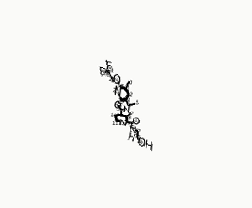 Cc1cc(C(C)N2Cc3c(ccnc3C(=O)NCCO)C2=O)cnc1OCC(F)F